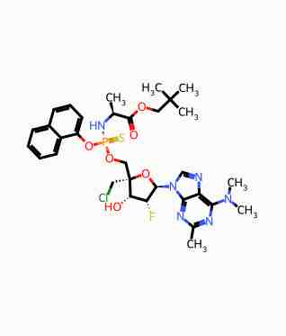 Cc1nc(N(C)C)c2ncn([C@@H]3O[C@](CCl)(CO[P@@](=S)(N[C@@H](C)C(=O)OCC(C)(C)C)Oc4cccc5ccccc45)[C@@H](O)[C@H]3F)c2n1